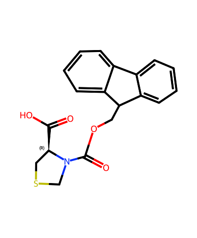 O=C(O)[C@@H]1CSCN1C(=O)OCC1c2ccccc2-c2ccccc21